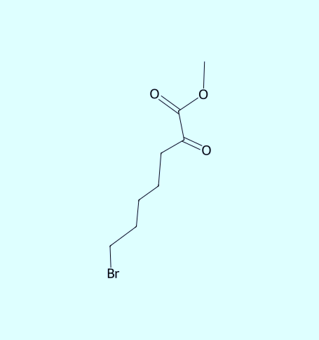 COC(=O)C(=O)CCCCCBr